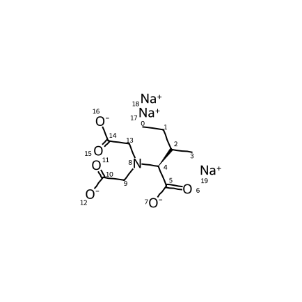 CCC(C)[C@@H](C(=O)[O-])N(CC(=O)[O-])CC(=O)[O-].[Na+].[Na+].[Na+]